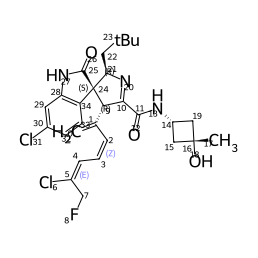 C=C(/C=C\C=C(\Cl)CF)[C@H]1C(C(=O)N[C@H]2C[C@@](C)(O)C2)=N[C@H](CC(C)(C)C)[C@]12C(=O)Nc1cc(Cl)ccc12